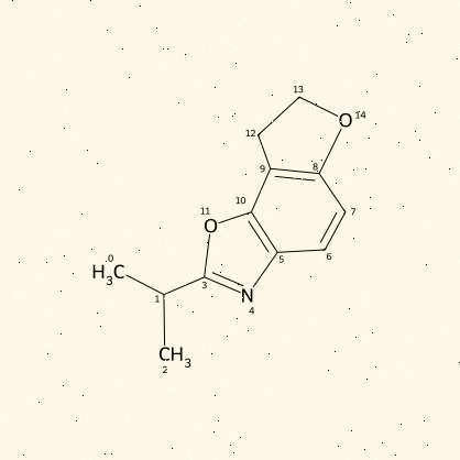 CC(C)c1nc2ccc3c(c2o1)CCO3